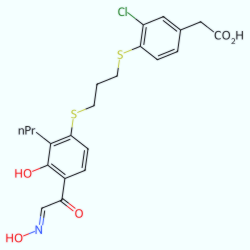 CCCc1c(SCCCSc2ccc(CC(=O)O)cc2Cl)ccc(C(=O)C=NO)c1O